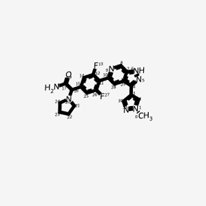 Cn1cc(-c2n[nH]c3cnc(-c4c(F)cc(C(C(N)=O)N5CCCC5)cc4F)cc23)cn1